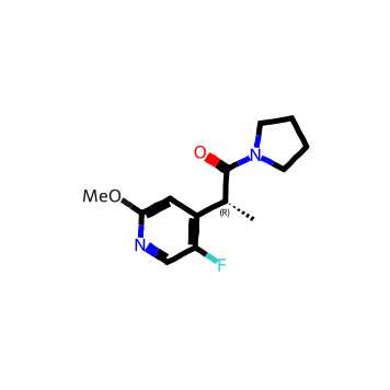 COc1cc([C@@H](C)C(=O)N2CCCC2)c(F)cn1